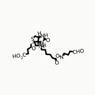 O=CCCC=NOC(=O)CCCCCNC(=O)[C@@]1(CCCCC(=O)O)SC[C@@H]2NC(=O)N[C@@H]21